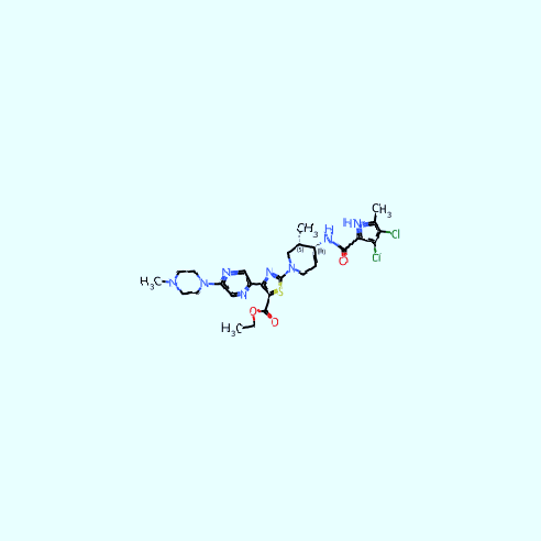 CCOC(=O)c1sc(N2CC[C@@H](NC(=O)c3[nH]c(C)c(Cl)c3Cl)[C@@H](C)C2)nc1-c1cnc(N2CCN(C)CC2)cn1